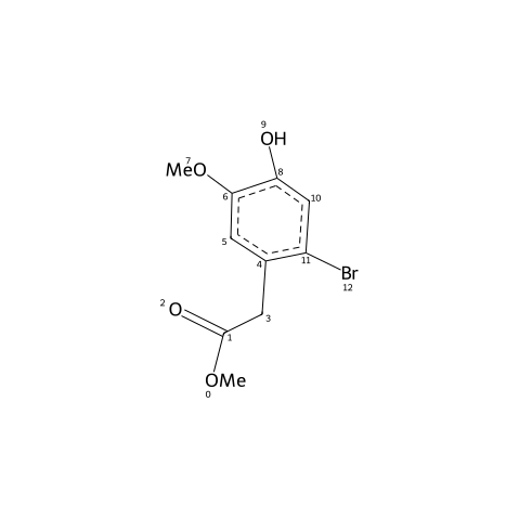 COC(=O)Cc1cc(OC)c(O)cc1Br